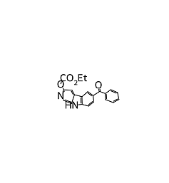 CCOC(=O)Oc1cc2c(cn1)[nH]c1ccc(C(=O)c3ccccc3)cc12